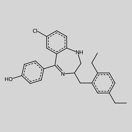 CCc1ccc(CC)c(CC2CNc3ccc(Cl)cc3C(c3ccc(O)cc3)=N2)c1